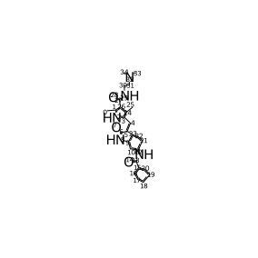 Cc1[nH]c(C=C2C(=O)Nc3cc(NC(=O)c4ccccc4)ccc32)c(C)c1C(=O)NCCN(C)C